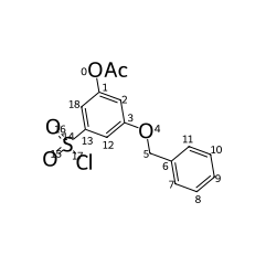 CC(=O)Oc1cc(OCc2ccccc2)cc(S(=O)(=O)Cl)c1